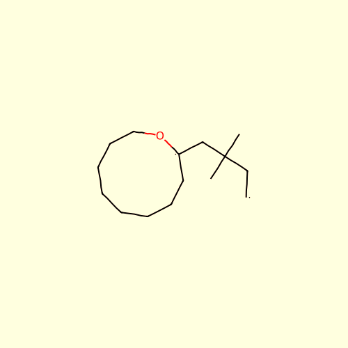 [CH2]CC(C)(C)C[C]1CCCCCCCCO1